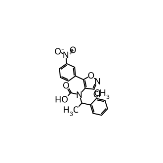 Cc1noc(-c2cccc([N+](=O)[O-])c2)c1N(C(=O)O)C(C)c1ccccc1Cl